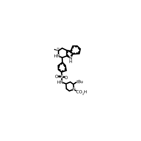 C[C@H]1Cc2c([nH]c3ccccc23)C(c2ccc(S(=O)(=O)NC3CCN(C(=O)O)C(C(C)(C)C)C3)cc2)N1